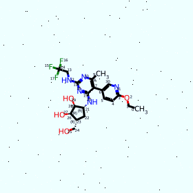 CCOc1ccc(-c2c(C)nc(NCC(F)(F)F)nc2N[C@@H]2C[C@H](CO)[C@@H](O)[C@H]2O)cn1